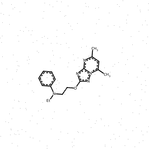 CCN(CCOc1nc2nc(C)cc(C)n2n1)c1ccccc1